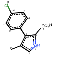 Cc1c[nH]c(C(=O)O)c1-c1ccc(Cl)cc1